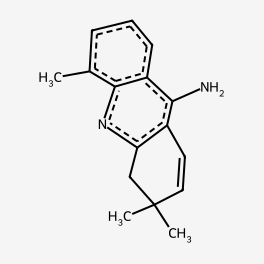 Cc1cccc2c(N)c3c(nc12)CC(C)(C)C=C3